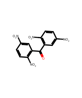 O=C(c1cc([N+](=O)[O-])ccc1[N+](=O)[O-])c1cc([N+](=O)[O-])ccc1[N+](=O)[O-]